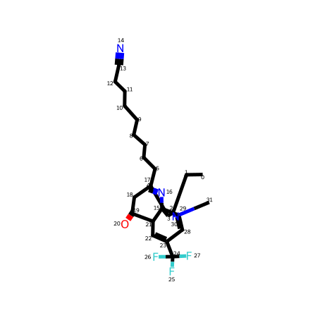 CCC1=C(CCCCCCCCCC#N)C23N=CCC(=O)C2C=C(C(F)(F)F)C=C3N1C